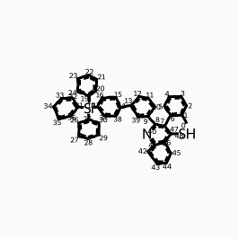 Cc1ccccc1-c1c(-c2cccc(-c3ccc([Si](c4ccccc4)(c4ccccc4)c4ccccc4)cc3)c2)nc2ccccc2c1S